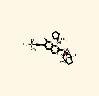 C[C@@]1(O)CCC[C@H]1n1c(=O)c(C#C[Si](C)(C)C)cc2cnc(NC3C[C@H]4CC[C@@H](C3)N4S(C)(=O)=O)nc21